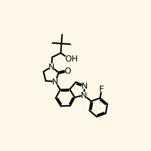 CC(C)(C)C(O)CN1CCN(c2cccc3c2cnn3-c2ccccc2F)C1=O